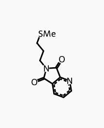 CSCCCN1C(=O)c2cccnc2C1=O